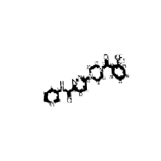 O=C(Nc1cccnc1)c1ccc(N2CCN(C(=O)c3ccccc3C(F)(F)F)CC2)nn1